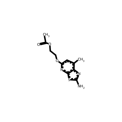 CC(=O)OCCOc1cc(C)c2nc(N)sc2n1